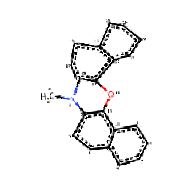 CN1c2ccc3ccccc3c2Oc2c1ccc1ccccc21